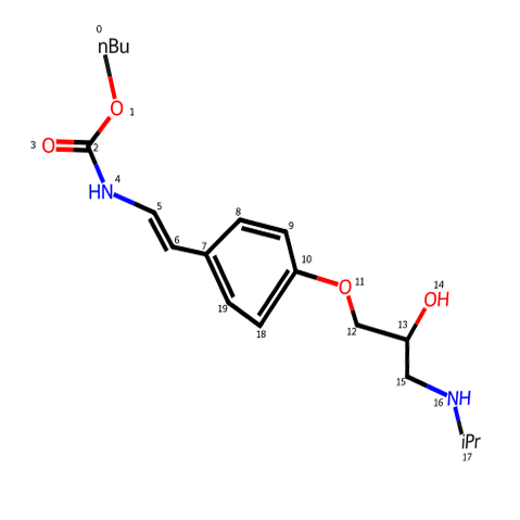 CCCCOC(=O)NC=Cc1ccc(OCC(O)CNC(C)C)cc1